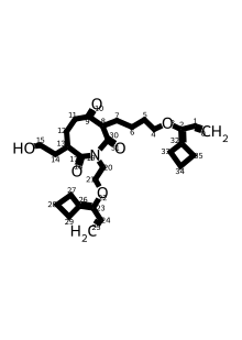 C=CC(OCCCCC1C(=O)CCC(CCO)C(=O)N(CCOC(C=C)=C2CCC2)C1=O)=C1CCC1